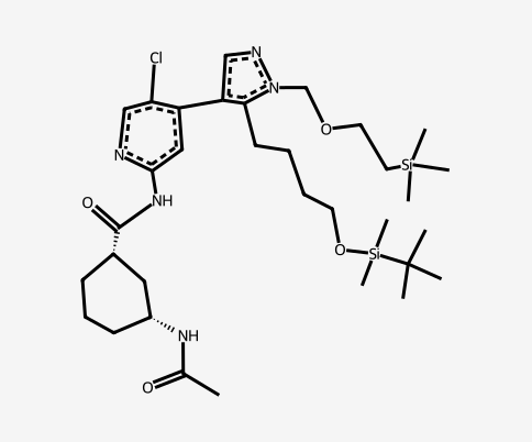 CC(=O)N[C@@H]1CCC[C@H](C(=O)Nc2cc(-c3cnn(COCC[Si](C)(C)C)c3CCCCO[Si](C)(C)C(C)(C)C)c(Cl)cn2)C1